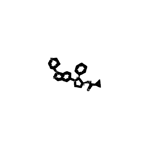 O=C(N[C@H]1CCN(c2ccc3c(cnn3-c3ccncc3)c2)[C@@H]1c1ccccc1)C1CC1